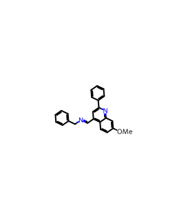 COc1ccc2c(C=NCc3ccccc3)cc(-c3ccccc3)nc2c1